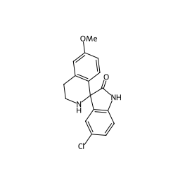 COc1ccc2c(c1)CCNC21C(=O)Nc2ccc(Cl)cc21